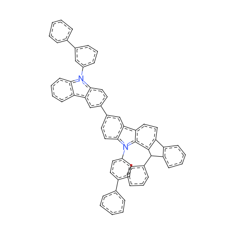 c1ccc(-c2ccc(-n3c4ccc(-c5ccc6c(c5)c5ccccc5n6-c5cccc(-c6ccccc6)c5)cc4c4ccc5c(c43)C(c3ccccc3)c3ccccc3-5)cc2)cc1